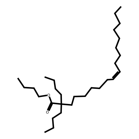 CCCCCCCC/C=C\CCCCCCC(CCCC)(CCCC)C(=O)OCCCC